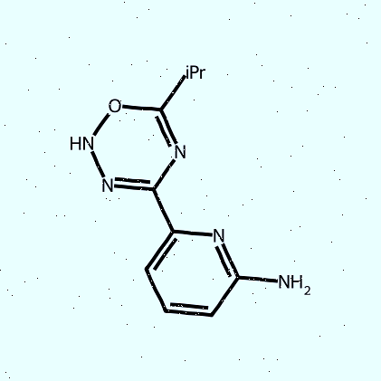 CC(C)C1=NC(c2cccc(N)n2)=NNO1